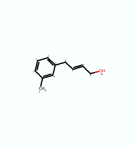 Cc1cccc(C/C=C/CO)c1